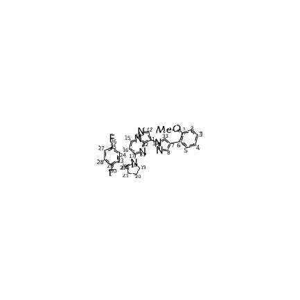 COc1ccccc1-c1cnn(-c2cnn3ccc(N4CCC[C@@H]4c4cc(F)ccc4F)nc23)c1